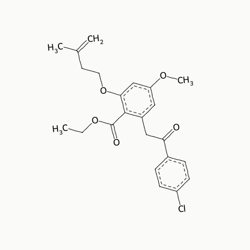 C=C(C)CCOc1cc(OC)cc(CC(=O)c2ccc(Cl)cc2)c1C(=O)OCC